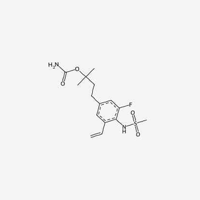 C=Cc1cc(CCC(C)(C)OC(N)=O)cc(F)c1NS(C)(=O)=O